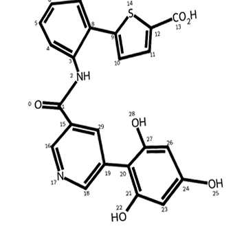 O=C(Nc1ccccc1-c1ccc(C(=O)O)s1)c1cncc(-c2c(O)cc(O)cc2O)c1